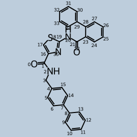 O=C(NCc1ccc(-c2ccccc2)cc1)c1csc(NC(=O)c2ccccc2-c2ccccc2)n1